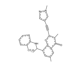 Cc1cc(C(C)Nc2ccccc2C(=O)O)c2oc(C#Cc3cnn(C)c3)c(C)c(=O)c2c1